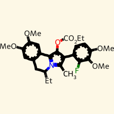 CCOC(=O)Oc1c(-c2ccc(OC)c(OC)c2F)c(C)n2c1-c1cc(OC)c(OC)cc1CC2CC